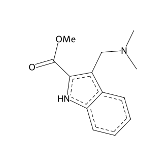 COC(=O)c1[nH]c2ccccc2c1CN(C)C